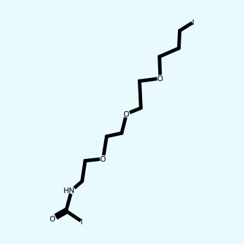 O=C(I)NCCOCCOCCOCCCI